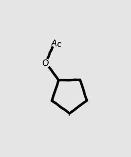 CC(=O)OC1C[CH]CC1